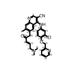 Cc1cc2ncc(C#N)c(Nc3ccc(OCc4ccccn4)c(Cl)c3)c2cc1CC(=O)/C=C/CN(C)C